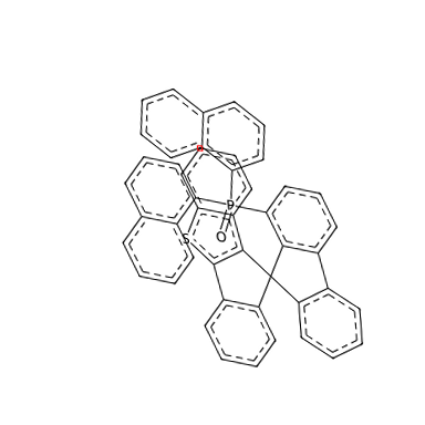 O=P(c1cccc2c1C1(c3ccccc3-2)c2ccccc2-c2sc3ccccc3c21)(c1cccc2ccccc12)c1cccc2ccccc12